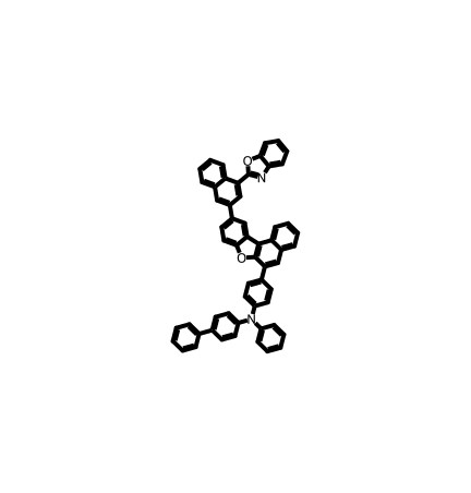 c1ccc(-c2ccc(N(c3ccccc3)c3ccc(-c4cc5ccccc5c5c4oc4ccc(-c6cc(-c7nc8ccccc8o7)c7ccccc7c6)cc45)cc3)cc2)cc1